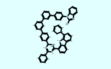 CCc1nc2ccccc2n1-c1ccc(-c2cccc(-c3cccc(-c4ccc(C5N=C(c6ccccc6)N=C(c6cccc7c6sc6c(C8C=CC=CC8)cccc67)N5)cc4)c3)c2)cc1